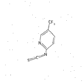 FC(F)(F)c1c[c]c(N=C=S)nc1